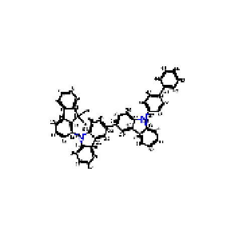 CC1(C)c2ccccc2-c2cccc(-n3c4ccccc4c4cc(-c5ccc6c(c5)c5ccccc5n6-c5ccc(-c6ccccc6)cc5)ccc43)c21